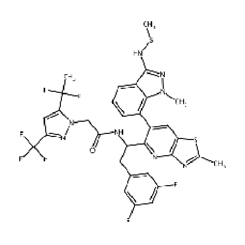 CSNc1nn(C)c2c(-c3cc4sc(C)nc4nc3C(Cc3cc(F)cc(F)c3)NC(=O)Cn3nc(C(F)(F)F)cc3C(C)(F)F)cccc12